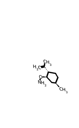 C=C(C)[C@@H]1CC[C@@H](C)C[C@H]1ON